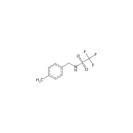 Cc1ccc(CNS(=O)(=O)C(F)(F)F)cc1